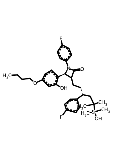 CCCCOc1ccc([C@@H]2C(CC[C@H](CC(C)(C)[Si](C)(C)O)c3ccc(F)cc3)C(=O)N2c2ccc(F)cc2)c(O)c1